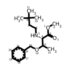 COC(=O)[C@@H](NCCC(C)(C)C)C(C)OCc1ccccc1